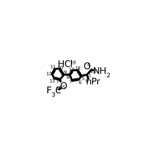 CCCC(C(N)=O)c1ccc(-c2ccccc2OC(F)(F)F)cc1.Cl